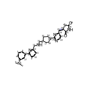 CN(C)c1cccc(-c2cccc(CNCC3CCN(c4nccc(/C=C5/SC(=O)NC5=O)n4)CC3)n2)c1